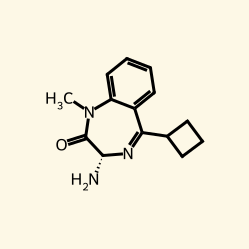 CN1C(=O)[C@@H](N)N=C(C2CCC2)c2ccccc21